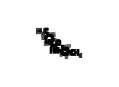 Cc1ccc(NC(=O)CN2CCC(C)CC2)nc1